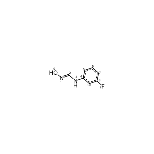 ON=CNc1cccc(F)c1